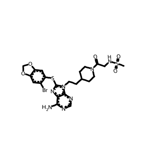 CS(=O)(=O)NCC(=O)N1CCC(CCn2c(Sc3cc4c(cc3Br)OCO4)nc3c(N)ncnc32)CC1